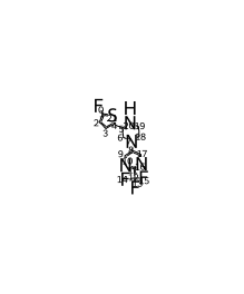 Fc1ccc(C2CN(c3cnc(C(F)(F)F)nc3)CCN2)s1